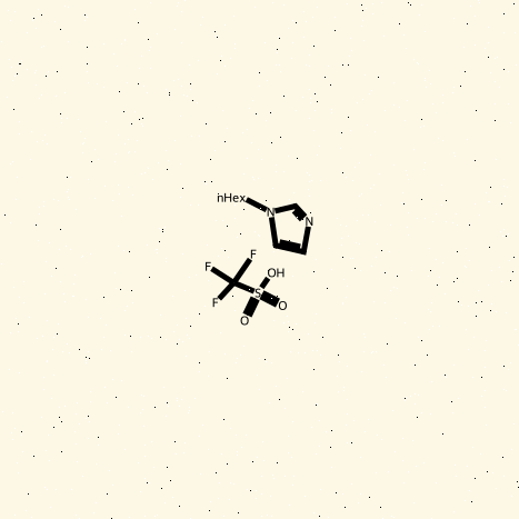 CCCCCCn1ccnc1.O=S(=O)(O)C(F)(F)F